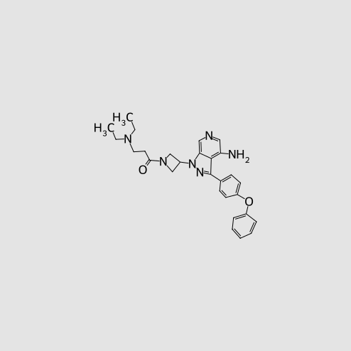 CCN(CC)CCC(=O)N1CC(n2nc(-c3ccc(Oc4ccccc4)cc3)c3c(N)cncc32)C1